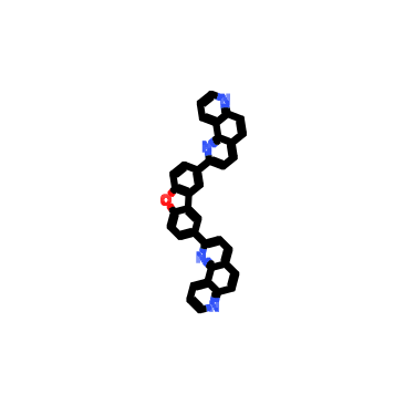 c1cnc2ccc3ccc(-c4ccc5oc6ccc(-c7ccc8ccc9ncccc9c8n7)cc6c5c4)nc3c2c1